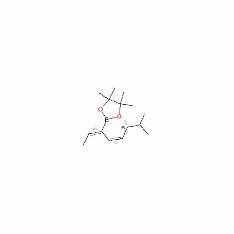 C/C=C(\C=C/[C@H](C)C(C)C)B1OC(C)(C)C(C)(C)O1